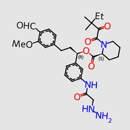 CCC(C)(C)C(=O)C(=O)N1CCCC[C@H]1C(=O)O[C@H](CCc1ccc(C=O)c(OC)c1)c1cccc(NC(=O)CNN)c1